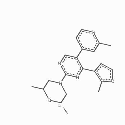 Cc1cc(-c2cnc(N3CC(C)O[C@@H](C)C3)nc2-c2ccoc2C)ccn1